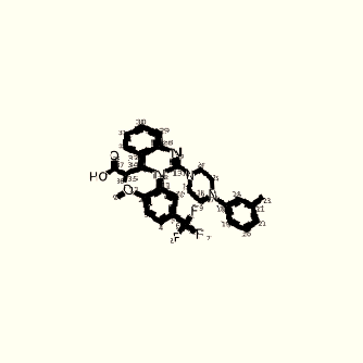 COc1ccc(C(F)(F)F)cc1N1C(N2CCN(c3cccc(C)c3)CC2)=Nc2ccccc2C1C(C)C(=O)O